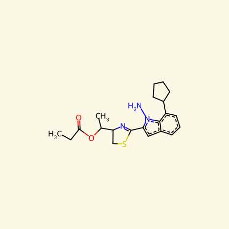 CCC(=O)OC(C)C1CSC(c2cc3cccc(C4CCCC4)c3n2N)=N1